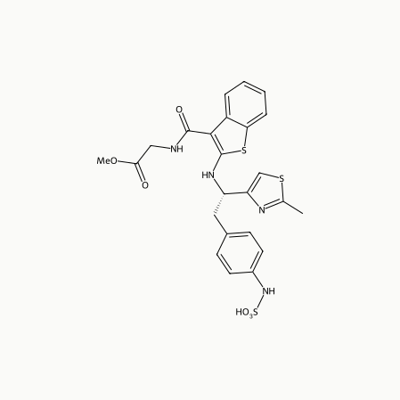 COC(=O)CNC(=O)c1c(N[C@@H](Cc2ccc(NS(=O)(=O)O)cc2)c2csc(C)n2)sc2ccccc12